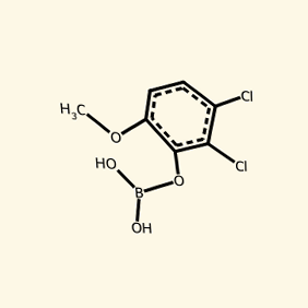 COc1ccc(Cl)c(Cl)c1OB(O)O